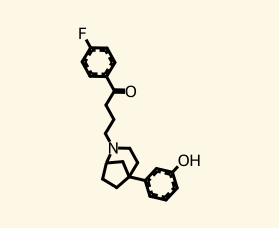 O=C(CCCN1CCC2(c3cccc(O)c3)CCC1C2)c1ccc(F)cc1